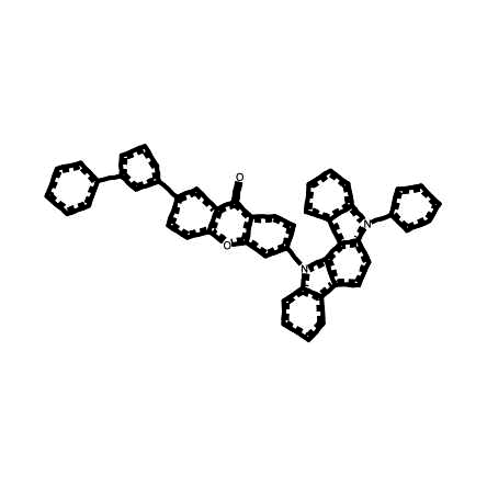 O=c1c2ccc(-n3c4ccccc4c4ccc5c(c6ccccc6n5-c5ccccc5)c43)cc2oc2ccc(-c3cccc(-c4ccccc4)c3)cc12